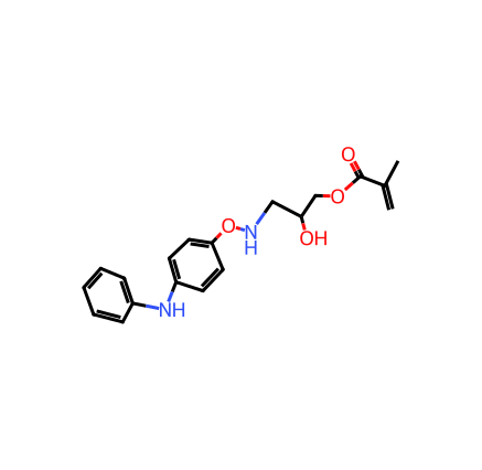 C=C(C)C(=O)OCC(O)CNOc1ccc(Nc2ccccc2)cc1